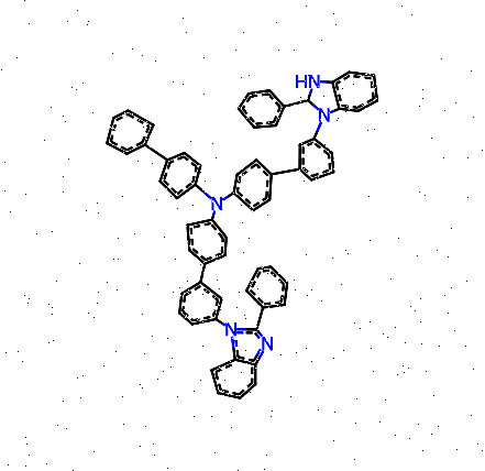 c1ccc(-c2ccc(N(c3ccc(-c4cccc(N5c6ccccc6NC5c5ccccc5)c4)cc3)c3ccc(-c4cccc(-n5c(-c6ccccc6)nc6ccccc65)c4)cc3)cc2)cc1